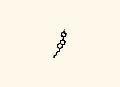 CCCCCC1CCC2CC(c3ccc(F)cc3)CCC2C1